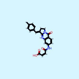 Cc1ccc(C=C2CCn3c2nc2cc(NC(=O)/C=C\C(=O)O)ccc2c3=O)cc1